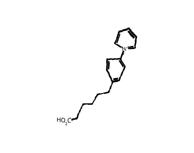 O=C(O)CCCCCc1ccc(-[n+]2ccccc2)cc1